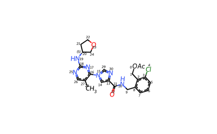 CC(=O)OCc1c(Cl)cccc1CNC(=O)c1cn(-c2nc(N[C@H]3CCOC3)ncc2C)cn1